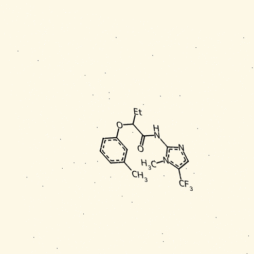 CCC(Oc1cccc(C)c1)C(=O)Nc1ncc(C(F)(F)F)n1C